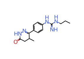 CCCNC(=N)Nc1ccc(C2=NNC(=O)CC2C)cc1